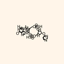 CC(C)(C)[Si](C)(C)OC1C2COP(=O)(S)O[C@H]3C[C@H](Oc4ccncn4)C[C@@H]3COP(=O)(S)O[C@H]1[C@H](n1cnc3c(=O)[nH]cnc31)O2